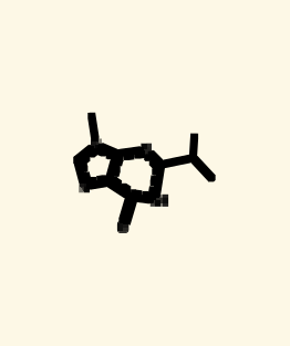 CC(C)c1nc2c(ncn2C)c(=O)[nH]1